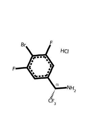 Cl.N[C@@H](c1cc(F)c(Br)c(F)c1)C(F)(F)F